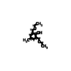 CCOCc1cc(C)cc(COCC)c1O